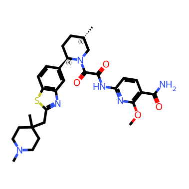 COc1nc(NC(=O)C(=O)N2C[C@@H](C)CC[C@@H]2c2ccc3sc(CC4(C)CCN(C)CC4)nc3c2)ccc1C(N)=O